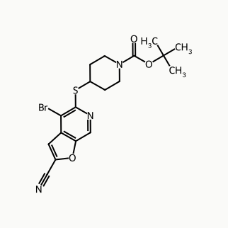 CC(C)(C)OC(=O)N1CCC(Sc2ncc3oc(C#N)cc3c2Br)CC1